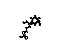 CCN(CCCOC(C)=O)c1cccc(C)c1